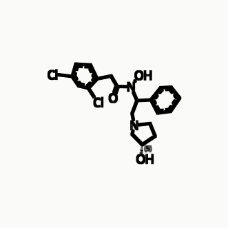 O=C(Cc1ccc(Cl)cc1Cl)N(O)C(CN1CC[C@H](O)C1)c1ccccc1